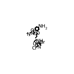 CN(C)/C=N/S(=O)(=O)c1ccc(N)cc1OCCC[C@@H](CO)Nc1nc(Cl)ncc1Br